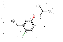 CCc1cc(OCC(C)C)ccc1F